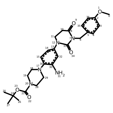 COc1ccc(CN2C(=O)CCN(c3ccc(N4CCN(C(=O)OC(C)(C)C)CC4)c(N)c3)C2=O)cc1